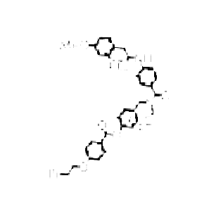 COc1ccc(CC(=O)Nc2ccc(C(=O)N(CC(=O)O)Cc3ccc(OC(=O)c4ccc(OCCC(C)C)cc4)cc3)cc2)c(C(F)(F)F)c1